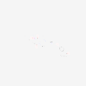 CCCCN1C(=O)[C@@H](CC2(O)CCCCC2)NC(=O)C12CCN(C/C=C/COc1ccc(C(=O)NC)cc1)CC2.Cl